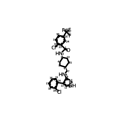 O=C(N[C@H]1CC[C@H](CNc2n[nH]cc2-c2ccccc2Cl)CC1)c1cc(C(F)(F)F)ccc1Cl